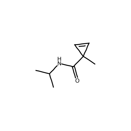 CC(C)NC(=O)C1(C)C=C1